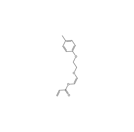 C=CC(=O)O/C=C\OCCOc1ccc(C)cc1